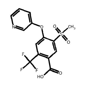 CS(=O)(=O)c1cc(C(=O)O)c(C(F)(F)F)cc1Oc1cccnc1